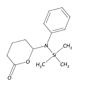 C[Si](C)(C)N(c1ccccc1)C1CCCC(=O)O1